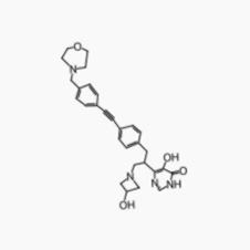 O=c1[nH]cnc(C(Cc2ccc(C#Cc3ccc(CN4CCOCC4)cc3)cc2)CN2CC(O)C2)c1O